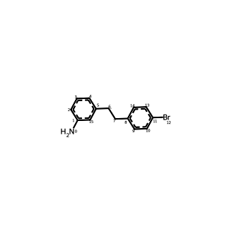 Nc1cccc([CH]Cc2ccc(Br)cc2)c1